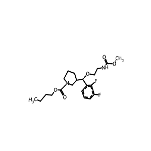 CCCCOC(=O)N1CCCC([C@@H](OCCNC(=O)OC)c2cccc(F)c2F)C1